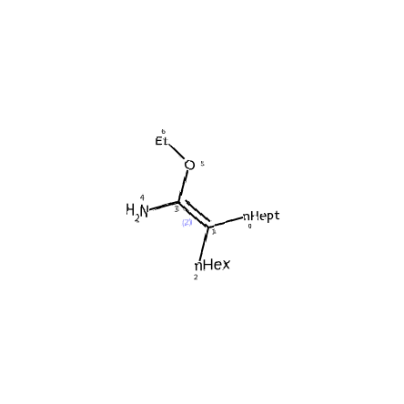 CCCCCCC/C(CCCCCC)=C(/N)OCC